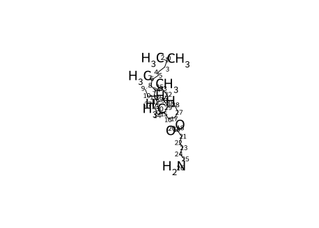 CC(C)CCC[C@@H](C)[C@H]1CC[C@H]2[C@@H]3CC=C4C[C@@H](OC(=O)CCCCCN)CC[C@]4(C)[C@H]3CC[C@]12C